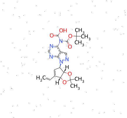 C=CC1=C[C@@H](n2ncc3c(N(C(=O)O)C(=O)OC(C)(C)C)ncnc32)[C@@H]2OC(C)(C)O[C@H]12